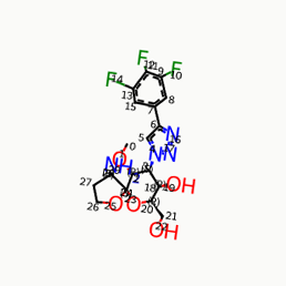 CO[C@@H]1[C@@H](n2cc(-c3cc(F)c(F)c(F)c3)nn2)[C@@H](O)[C@@H](CO)O[C@]12OCC[C@H]2N